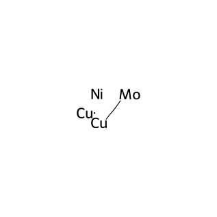 [Cu].[Cu][Mo].[Ni]